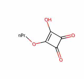 CCCOc1c(O)c(=O)c1=O